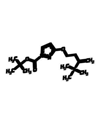 C=C(CCOc1ccn(C(=O)OC(C)(C)C)n1)S(C)(C)C